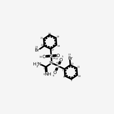 N=C(N)N(S(=O)(=O)c1ccccc1Br)S(=O)(=O)c1ccccc1Br